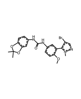 COc1ccc(NC(=O)Nc2ccc3c(c2)OC(C)(C)O3)cc1-c1c(Br)cnn1C